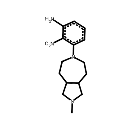 CN1CC2CCN(c3cccc(N)c3[N+](=O)[O-])CCC2C1